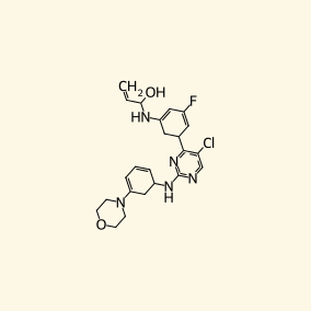 C=CC(O)NC1=CC(F)=CC(c2nc(NC3C=CC=C(N4CCOCC4)C3)ncc2Cl)C1